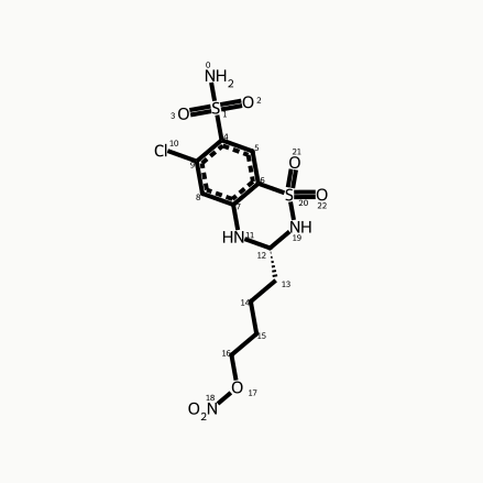 NS(=O)(=O)c1cc2c(cc1Cl)N[C@@H](CCCCO[N+](=O)[O-])NS2(=O)=O